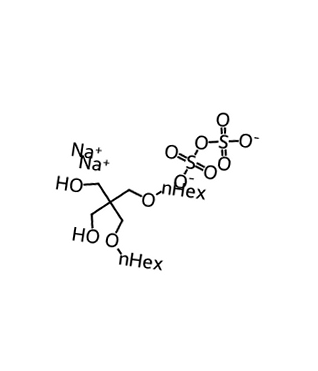 CCCCCCOCC(CO)(CO)COCCCCCC.O=S(=O)([O-])OS(=O)(=O)[O-].[Na+].[Na+]